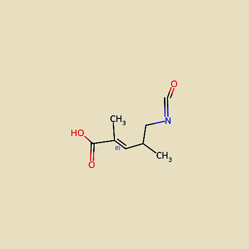 C/C(=C\C(C)CN=C=O)C(=O)O